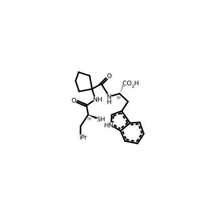 CC(C)C[C@H](S)C(=O)NC1(C(=O)N[C@@H](Cc2c[nH]c3ccccc23)C(=O)O)CCCC1